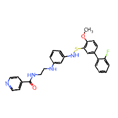 COc1ccc(-c2ccccc2F)cc1SNc1cccc(NCCNC(=O)c2ccncc2)c1